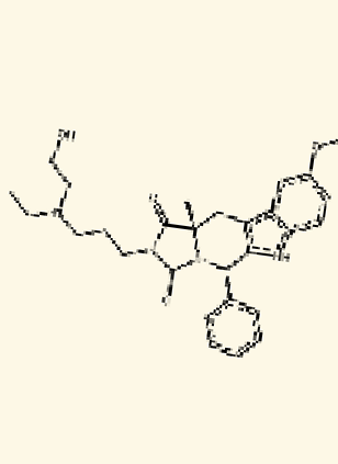 CCN(CCO)CCCN1C(=O)N2[C@H](c3ccccc3)c3[nH]c4ccc(OC)cc4c3C[C@@]2(C)C1=O